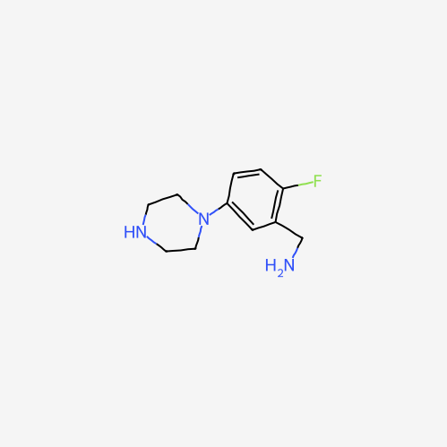 NCc1cc(N2CCNCC2)ccc1F